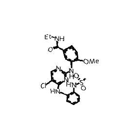 CCNC(=O)c1ccc(OC)c(Nc2ncc(Cl)c(Nc3ccccc3NS(C)(=O)=O)n2)c1